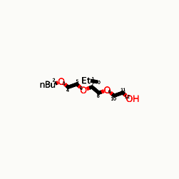 CCC.CCCCOCCOCCOCCO